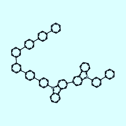 c1ccc(-c2ccc(-c3ccc(-c4cccc(-c5cccc(-c6ccc(-c7ccc(-n8c9ccccc9c9cc(-c%10ccc%11c(c%10)c%10ccccc%10n%11-c%10cccc(-c%11ccccc%11)c%10)ccc98)cc7)cc6)c5)c4)cc3)cc2)cc1